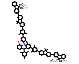 CCCCCCCCC1(CCCCCCCC)c2ccccc2-c2ccc(-c3ccc4c(c3)C(C)(C)c3cc(-c5cc(C)c(-c6cc7c8c(c6)c6cc(-c9c(C)cc(-c%10ccc%11c(c%10)C(C)(C)c%10cc(-c%12ccc%13c(c%12)C(CCCCCCCC)(CCCCCCCC)c%12ccccc%12-%13)ccc%10-%11)cc9C)cc9c6n8-c6c(cccc6B9c6c(C)cc(C)cc6C)O7)c(C)c5)ccc3-4)cc21